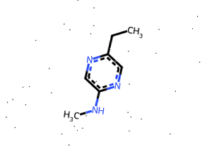 CCc1cnc(NC)cn1